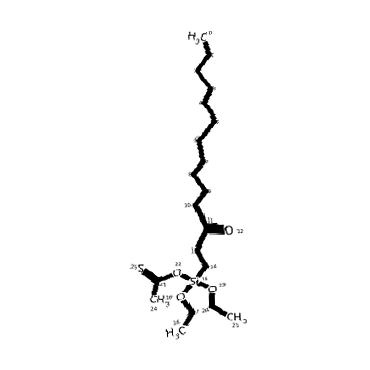 CCCCCCCCCCCC(=O)CC[Si](OCC)(OCC)OC(C)=S